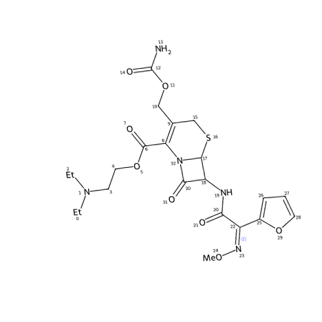 CCN(CC)CCOC(=O)C1=C(COC(N)=O)CSC2C(NC(=O)/C(=N\OC)c3ccco3)C(=O)N12